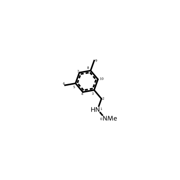 CNNCc1cc(C)cc(C)c1